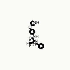 O=C(Nc1ccc(O[C@H]2CCNC2)cc1)c1nc(-c2ccccc2)oc1C(F)(F)F